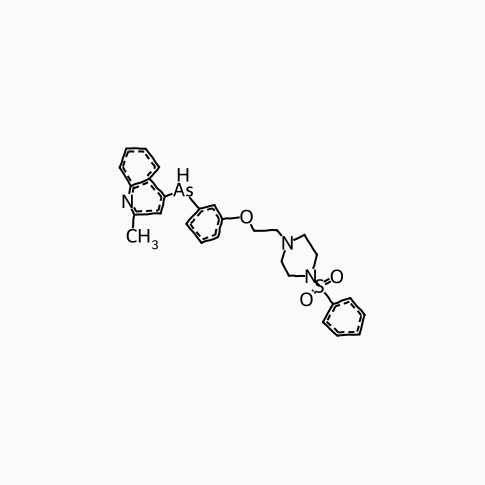 Cc1cc([AsH]c2cccc(OCCN3CCN(S(=O)(=O)c4ccccc4)CC3)c2)c2ccccc2n1